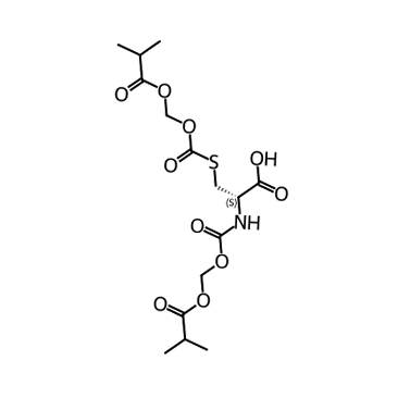 CC(C)C(=O)OCOC(=O)N[C@H](CSC(=O)OCOC(=O)C(C)C)C(=O)O